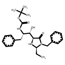 CC[C@H]1N[C@@H]([C@@H](O)[C@H](Cc2ccccc2)NC(=O)OC(C)(C)C)C(=O)N1Cc1ccccc1